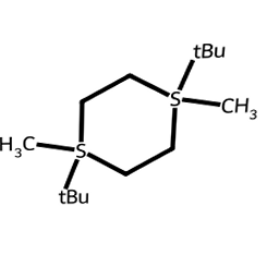 CC(C)(C)S1(C)CCS(C)(C(C)(C)C)CC1